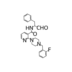 O=CC(Cc1ccccc1)NC(=O)c1cccnc1N1CCN(Cc2ccccc2F)CC1